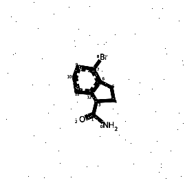 NC(=O)C1CCc2c(Br)cccc21